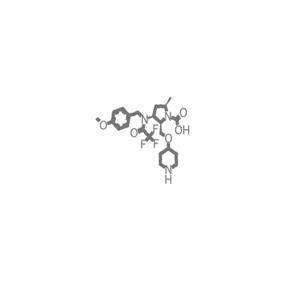 COc1ccc(CN(C(=O)C(F)(F)F)[C@H]2C[C@@H](C)N(C(=O)O)[C@H]2COC2CCNCC2)cc1